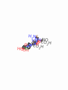 Nc1nc(/C(=N/O[C@@H](CN=O)C(=O)O)C(=O)N[C@@H]2C(=O)N3C(C(=O)O)=C(C[n+]4cccc5c4CCCCN5C(=O)c4ccc(O)c(O)c4Cl)CS[C@H]23)cs1